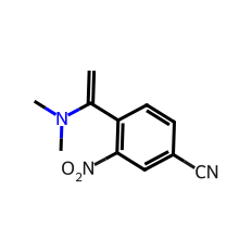 C=C(c1ccc(C#N)cc1[N+](=O)[O-])N(C)C